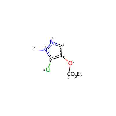 CCOC(=O)Oc1cnn(C)c1Cl